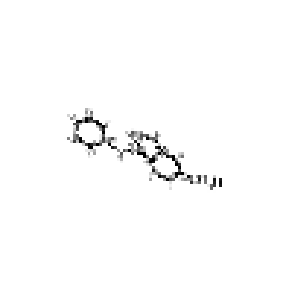 O=C(O)c1ccc2c(cnn2Cc2ccccc2)c1